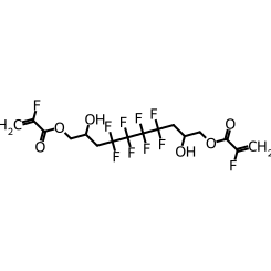 C=C(F)C(=O)OCC(O)CC(F)(F)C(F)(F)C(F)(F)C(F)(F)CC(O)COC(=O)C(=C)F